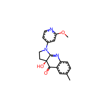 COc1cc(N2CC[C@@]3(O)C(=O)c4cc(C)ccc4N=C23)ccn1